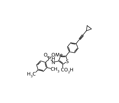 COP(=O)(Nc1cc(-c2ccc(C#CC3CC3)cc2)sc1C(=O)O)c1ccc(C)cc1C